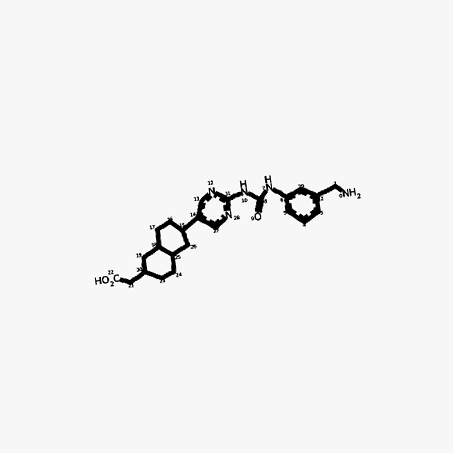 NCc1cccc(NC(=O)Nc2ncc(C3CCC4CC(CC(=O)O)CCC4C3)cn2)c1